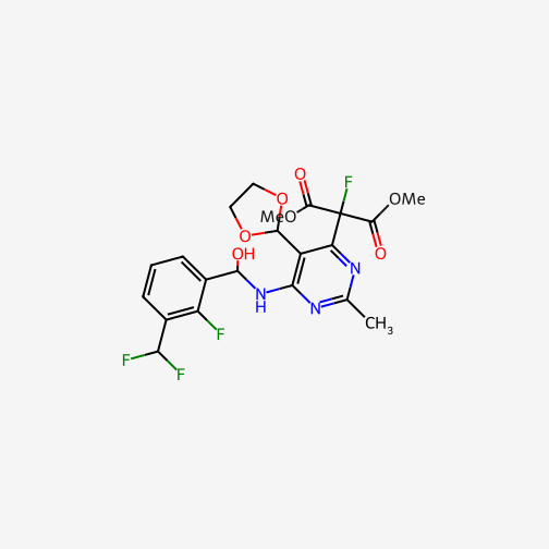 COC(=O)C(F)(C(=O)OC)c1nc(C)nc(NC(O)c2cccc(C(F)F)c2F)c1C1OCCO1